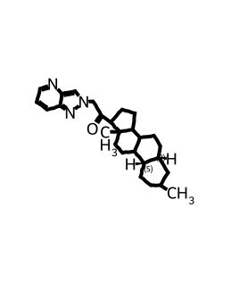 CC1CC[C@@H]2C3CCC4(C)C(C(=O)Cn5cc6ncccc6n5)CCC4C3CC[C@@H]2C1